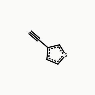 [C]#Cc1ccsc1